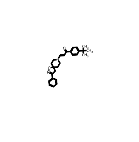 CC(C)(C)c1ccc(C(=O)C=CN2CCC3(CC2)CC(c2ccccc2)=NO3)cc1